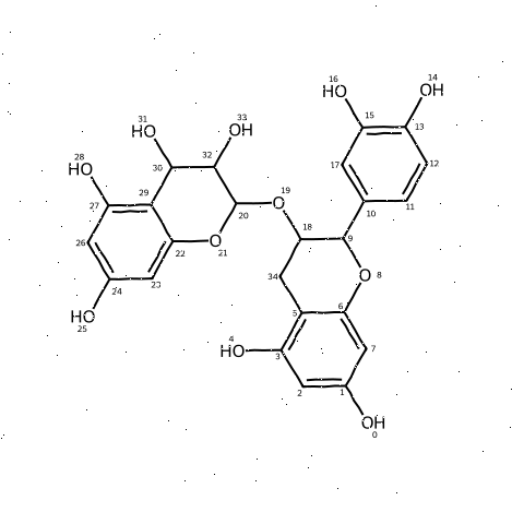 Oc1cc(O)c2c(c1)OC(c1ccc(O)c(O)c1)C(OC1Oc3cc(O)cc(O)c3C(O)C1O)C2